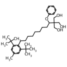 Cc1cc(C(C)(C)C)c(CCCCCCCCC(Oc2ccccc2)C(CO)(CO)CO)c(C(C)(C)C)c1